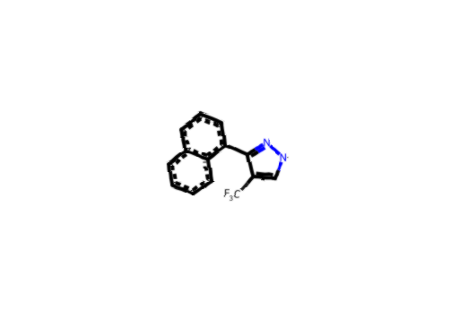 FC(F)(F)C1=C[N]N=C1c1cccc2ccccc12